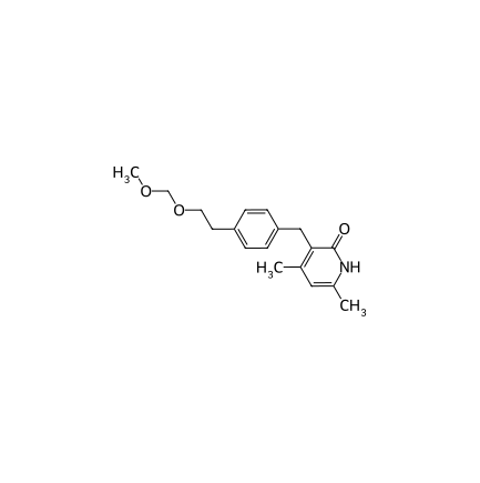 COCOCCc1ccc(Cc2c(C)cc(C)[nH]c2=O)cc1